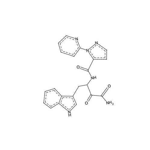 NC(=O)C(=O)C(Cc1c[nH]c2ccccc12)NC(=O)c1ccnn1-c1ccccn1